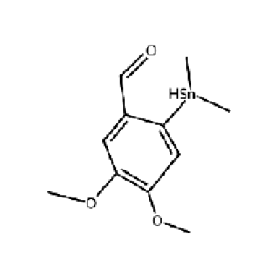 COc1cc(C=O)[c]([SnH]([CH3])[CH3])cc1OC